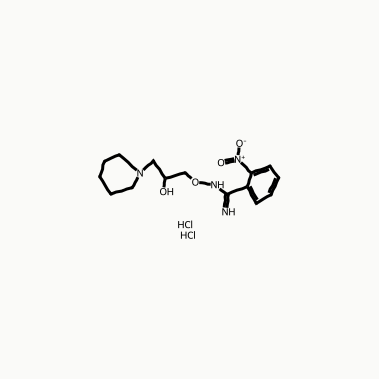 Cl.Cl.N=C(NOCC(O)CN1CCCCC1)c1ccccc1[N+](=O)[O-]